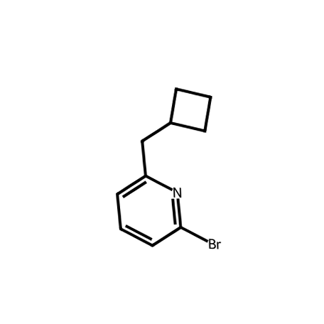 Brc1cccc(CC2CCC2)n1